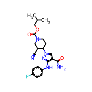 CC(C)COC(=O)N1CCC(n2cc(C(N)=O)c(Nc3ccc(F)cc3)n2)C(C#N)C1